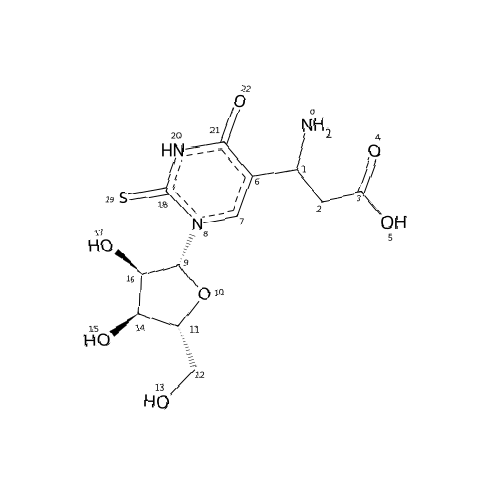 NC(CC(=O)O)c1cn([C@@H]2O[C@H](CO)[C@@H](O)[C@H]2O)c(=S)[nH]c1=O